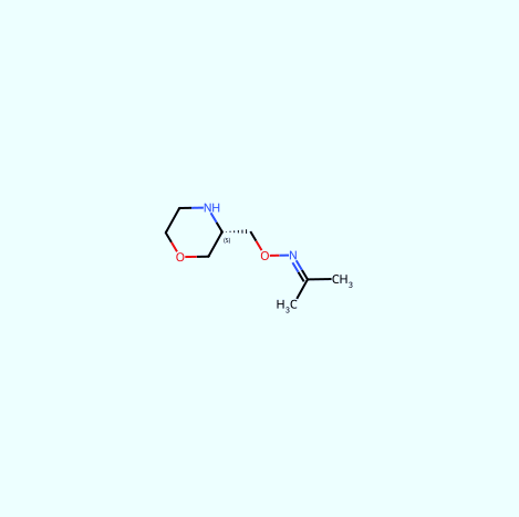 CC(C)=NOC[C@@H]1COCCN1